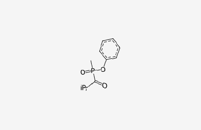 CC(C)C(=O)P(C)(=O)Oc1ccccc1